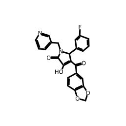 O=C(C1=C(O)C(=O)N(Cc2cccnc2)C1c1cccc(F)c1)c1ccc2c(c1)OCO2